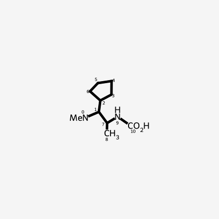 CNC(C1CCCC1)C(C)NC(=O)O